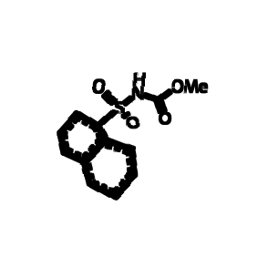 COC(=O)NS(=O)(=O)c1cccc2ccccc12